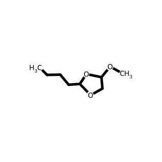 CCCCC1OCC(OC)O1